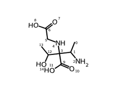 CC(N)C(NCC(=O)O)(C(=O)O)C(C)O